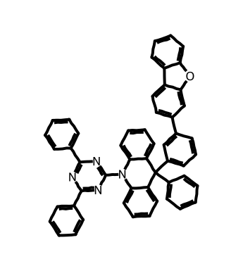 c1ccc(-c2nc(-c3ccccc3)nc(N3c4ccccc4C(c4ccccc4)(c4cccc(-c5ccc6c(c5)oc5ccccc56)c4)c4ccccc43)n2)cc1